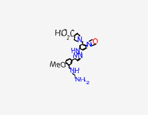 COc1ccc(-c2ccnc(Nc3ccc(N4CCOCC4)c(CN4CCC(C(=O)O)CC4)c3)n2)cc1CNCCCN